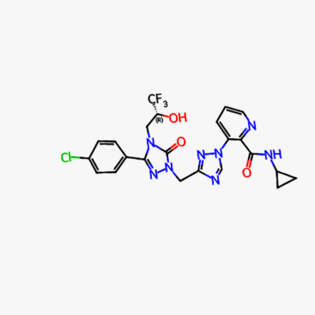 O=C(NC1CC1)c1ncccc1-n1cnc(Cn2nc(-c3ccc(Cl)cc3)n(C[C@@H](O)C(F)(F)F)c2=O)n1